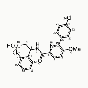 COc1ccc(C(=O)NC(CC(=O)O)c2ccccc2Cl)nc1-c1ccc(Cl)cc1